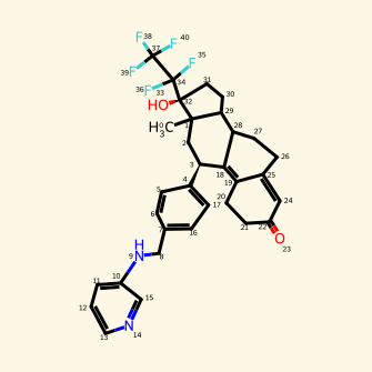 CC12C[C@H](c3ccc(CNc4cccnc4)cc3)C3=C4CCC(=O)C=C4CCC3C1CC[C@@]2(O)C(F)(F)C(F)(F)F